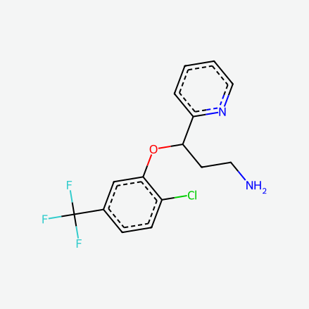 NCCC(Oc1cc(C(F)(F)F)ccc1Cl)c1ccccn1